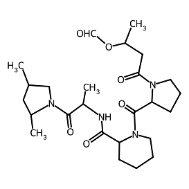 CC1CC(C)N(C(=O)C(C)NC(=O)C2CCCCN2C(=O)C2CCCN2C(=O)CC(C)OC=O)C1